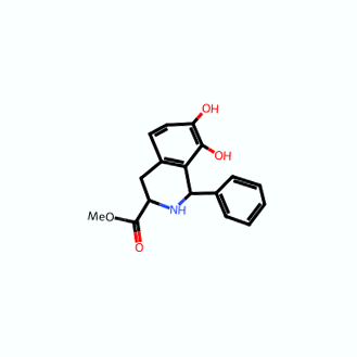 COC(=O)C1Cc2ccc(O)c(O)c2C(c2ccccc2)N1